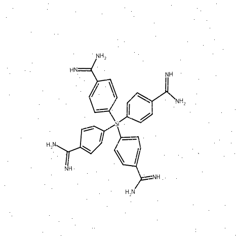 N=C(N)c1ccc([Si](c2ccc(C(=N)N)cc2)(c2ccc(C(=N)N)cc2)c2ccc(C(=N)N)cc2)cc1